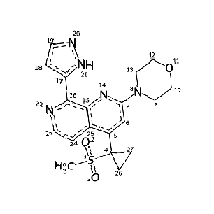 CS(=O)(=O)C1(c2cc(N3CCOCC3)nc3c(-c4ccn[nH]4)nccc23)CC1